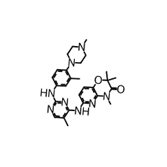 Cc1cc(Nc2ncc(C)c(Nc3ccc4c(n3)N(C)C(=O)C(C)(C)O4)n2)ccc1N1CCN(C)CC1